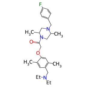 CCN(CC)Cc1cc(C)c(OCC(=O)N2CC(C)N(Cc3ccc(F)cc3)CC2C)cc1C